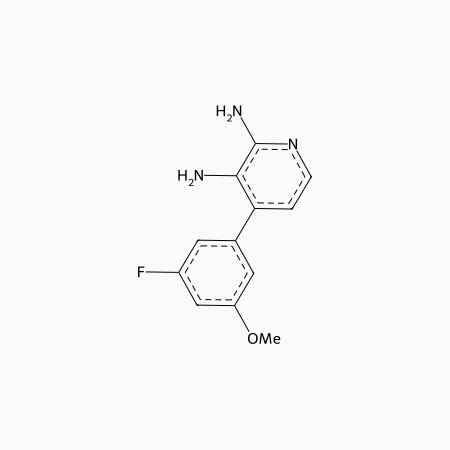 COc1cc(F)cc(-c2ccnc(N)c2N)c1